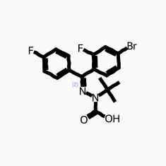 CC(C)(C)N(/N=C(/c1ccc(F)cc1)c1ccc(Br)cc1F)C(=O)O